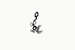 O=C(OCCC1CCCCC1)c1cc([N+](=O)[O-])c(SOOO)c([N+](=O)[O-])c1